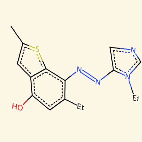 CCc1cc(O)c2cc(C)sc2c1/N=N/c1cncn1CC